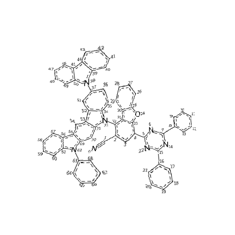 N#Cc1cc(-c2nc(-c3ccccc3)nc(-c3ccccc3)n2)c2oc3ccccc3c2c1-n1c2ccc(-n3c4ccccc4c4ccccc43)cc2c2cc3c4ccccc4n(-c4ccccc4)c3cc21